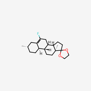 C[C@H]1CC[C@H]2C(=C(F)C[C@@H]3[C@@H]2CC[C@@]2(C)[C@H]3CCC23OCCO3)C1